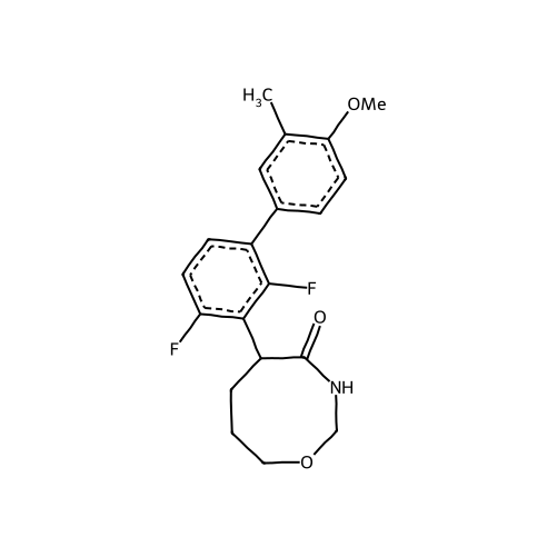 COc1ccc(-c2ccc(F)c(C3CCCOCNC3=O)c2F)cc1C